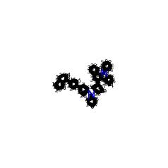 c1ccc(N(c2ccc(-c3ccc(-c4cccc5ccccc45)cc3)cc2)c2cccc(-c3cc4ccccc4c4c3c3ccccc3n4-c3ccccc3)c2)cc1